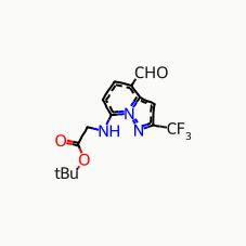 CC(C)(C)OC(=O)CNc1ccc(C=O)c2cc(C(F)(F)F)nn12